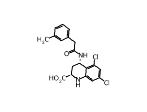 Cc1cccc(CC(=O)N[C@H]2C[C@H](C(=O)O)Nc3cc(Cl)cc(Cl)c32)c1